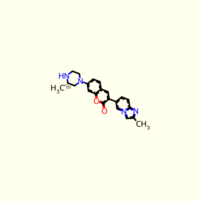 Cc1cn2cc(-c3cc4ccc(N5CCN[C@@H](C)C5)cc4oc3=O)ccc2n1